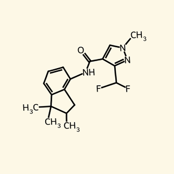 CC1Cc2c(NC(=O)c3cn(C)nc3C(F)F)cccc2C1(C)C